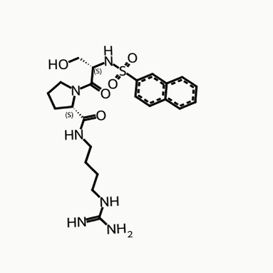 N=C(N)NCCCCNC(=O)[C@@H]1CCCN1C(=O)[C@H](CO)NS(=O)(=O)c1ccc2ccccc2c1